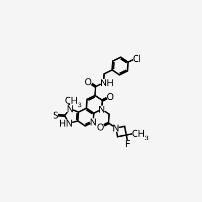 Cn1c(=S)[nH]c2cnc3c(cc(C(=O)NCc4ccc(Cl)cc4)c(=O)n3CC(=O)N3CC(C)(F)C3)c21